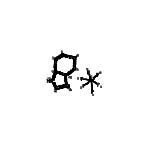 [F][Sb-]([F])([F])([F])([F])[F].c1ccc2oc[nH+]c2c1